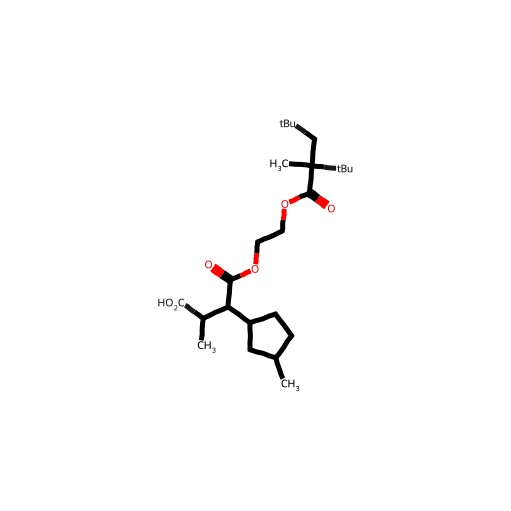 CC1CCC(C(C(=O)OCCOC(=O)C(C)(CC(C)(C)C)C(C)(C)C)C(C)C(=O)O)C1